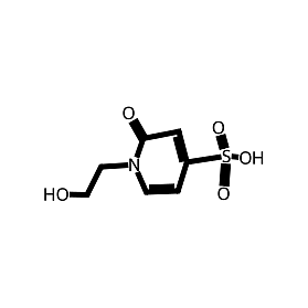 O=c1cc(S(=O)(=O)O)ccn1CCO